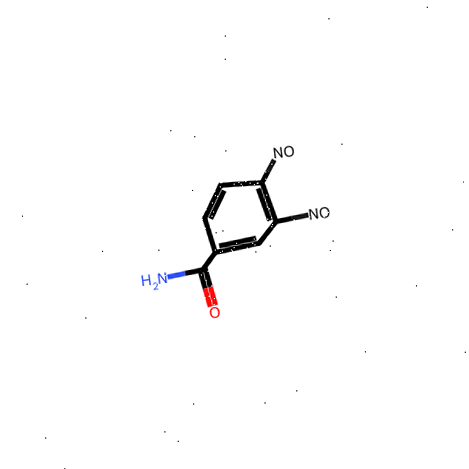 NC(=O)c1ccc(N=O)c(N=O)c1